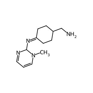 CN1C=CC=NC1N=C1CCC(CN)CC1